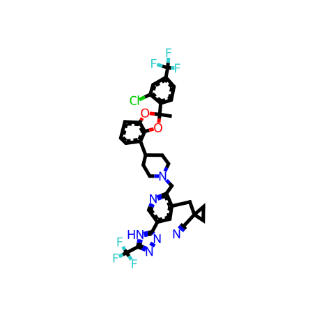 CC1(c2ccc(C(F)(F)F)cc2Cl)Oc2cccc(C3CCN(Cc4ncc(-c5nnc(C(F)(F)F)[nH]5)cc4CC4(C#N)CC4)CC3)c2O1